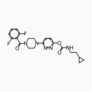 O=C(NCCC1CC1)Oc1ccc(N2CCN(C(=O)c3c(F)cccc3F)CC2)nn1